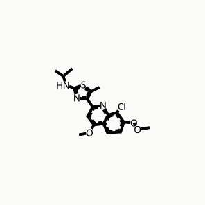 COOc1ccc2c(OC)cc(-c3nc(NC(C)C)sc3C)nc2c1Cl